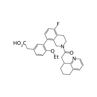 CCOc1ccc(CC(=O)O)cc1-c1ccc(F)c2c1CN(C(=O)CC1CCCc3cccnc31)CC2